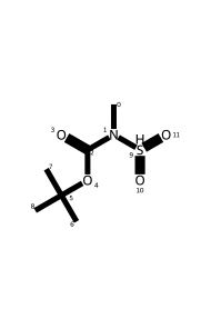 CN(C(=O)OC(C)(C)C)[SH](=O)=O